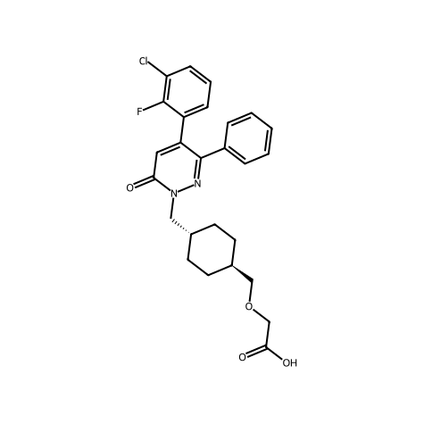 O=C(O)COC[C@H]1CC[C@H](Cn2nc(-c3ccccc3)c(-c3cccc(Cl)c3F)cc2=O)CC1